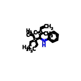 C=C[Si](C)(C)C(Nc1ccccc1)[Si](CC)(CC)CC